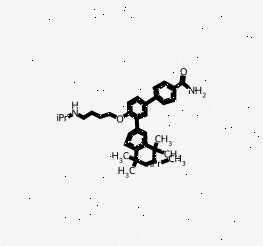 CC(C)NCCCCOc1ccc(-c2ccc(C(N)=O)cc2)cc1-c1ccc2c(c1)C(C)(C)CCC2(C)C.CCCC